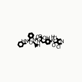 O=C(NCC1CCCCC1)c1ccccc1N(CC1CC1)C(=O)NC(Cc1ccc(NC(=O)c2c(Cl)cncc2Cl)cc1)C(=O)O